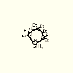 CCC1=C(CC)C2=NC1=CC1=NC(=CC3=NC(=C(CC)C4=NC(=C2CC)C(CC)=C4CC)C(CC)=C3CC)C=C1.[GaH3]